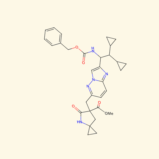 COC(=O)C1(Cc2ccc3nc(C(NC(=O)OCc4ccccc4)C(C4CC4)C4CC4)cn3n2)CC2(CC2)NC1=O